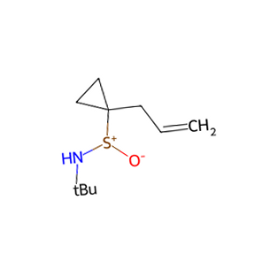 C=CCC1([S+]([O-])NC(C)(C)C)CC1